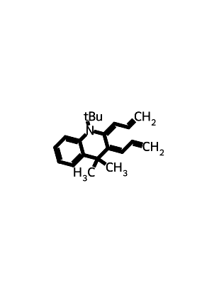 C=C/C=C1\C(=C/C=C)N(C(C)(C)C)c2ccccc2C1(C)C